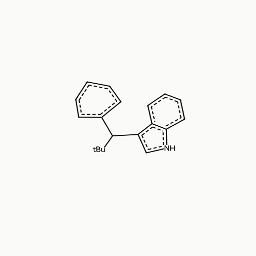 CC(C)(C)C(c1ccccc1)c1c[nH]c2ccccc12